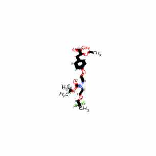 CCOC(Cc1ccc(OCCN(CCOCC(C)(F)F)C(=O)OC(C)C)cc1)C(=O)O